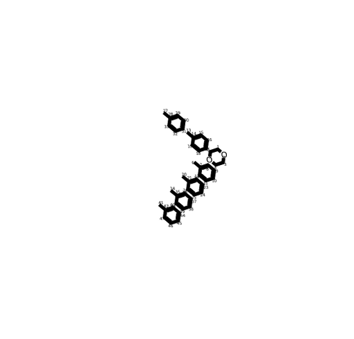 C1COCCO1.Cc1ccccc1.Cc1ccccc1.Cc1ccccc1.Cc1ccccc1.Cc1ccccc1.Cc1ccccc1